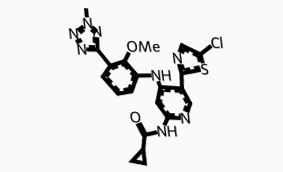 COc1c(Nc2cc(NC(=O)C3CC3)ncc2-c2ncc(Cl)s2)cccc1-c1nnn(C)n1